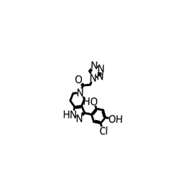 O=C(Cn1cnnn1)N1CCc2[nH]nc(-c3cc(Cl)c(O)cc3O)c2C1